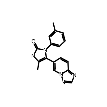 CC1=C(c2ccc3ncnn3c2)N(c2cccc(C)c2)C(=O)[N]1